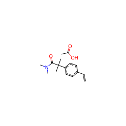 C=Cc1ccc(C(C)(C)C(=O)N(C)C)cc1.CC(=O)O